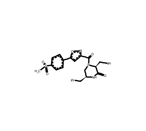 CC(C)C[C@H]1CN(C(=O)c2cc(-c3ccc(S(C)(=O)=O)cc3)on2)[C@@H](CC(C)C)C(=O)N1